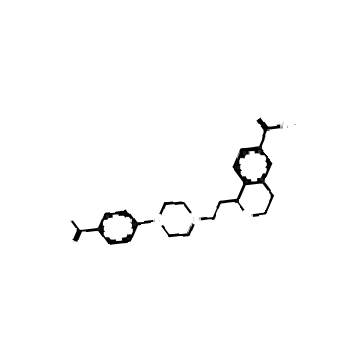 CCC(=O)c1ccc(N2CCN(CCC3OCCc4cc(C(N)=O)ccc43)CC2)cc1